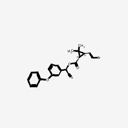 CC1(C)[C@H](C(=O)OC(C#N)c2cccc(Oc3ccccc3)c2)[C@@H]1C=CBr